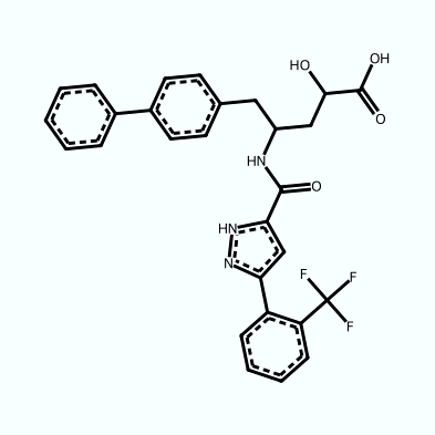 O=C(NC(Cc1ccc(-c2ccccc2)cc1)CC(O)C(=O)O)c1cc(-c2ccccc2C(F)(F)F)n[nH]1